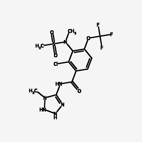 CN1NNN=C1NC(=O)c1ccc(OC(F)(F)F)c(N(C)S(C)(=O)=O)c1Cl